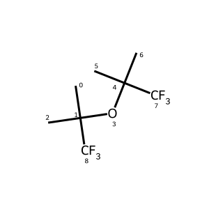 CC(C)(OC(C)(C)C(F)(F)F)C(F)(F)F